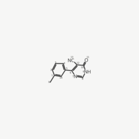 Cc1cccc(-c2nc[nH]c(=O)c2C#N)c1